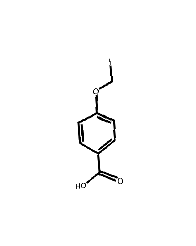 O=C(O)c1ccc(OCI)cc1